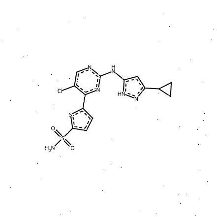 NS(=O)(=O)c1ccc(-c2nc(Nc3cc(C4CC4)n[nH]3)ncc2Cl)s1